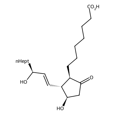 CCCCCCC[C@H](O)/C=C/[C@H]1[C@H](O)CC(=O)[C@@H]1CCCCCCC(=O)O